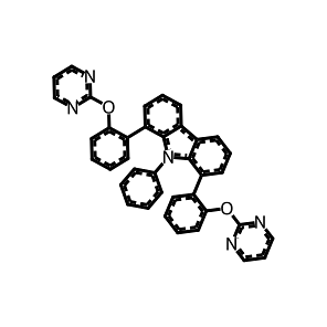 c1ccc(-n2c3c(-c4ccccc4Oc4ncccn4)cccc3c3cccc(-c4ccccc4Oc4ncccn4)c32)cc1